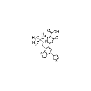 CC(C)(C)[C@@H]1Cc2c(cc(-c3ccsc3)c3ccsc23)-c2cc(=O)c(C(=O)O)cn21